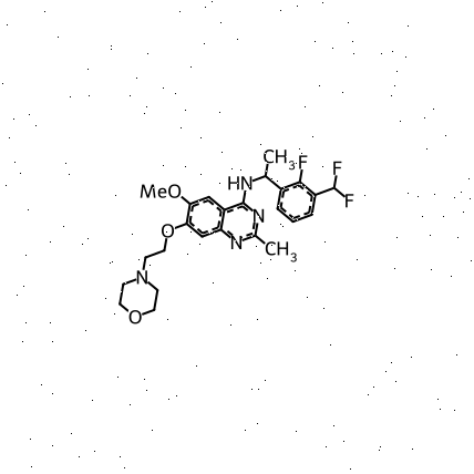 COc1cc2c(NC(C)c3cccc(C(F)F)c3F)nc(C)nc2cc1OCCN1CCOCC1